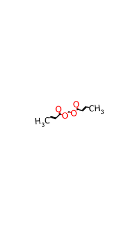 C/C=C/C(=O)OCOC(=O)/C=C/C